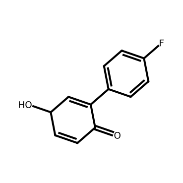 O=C1C=CC(O)C=C1c1ccc(F)cc1